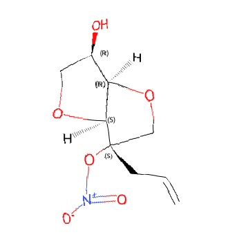 C=CC[C@]1(O[N+](=O)[O-])CO[C@@H]2[C@H](O)CO[C@@H]21